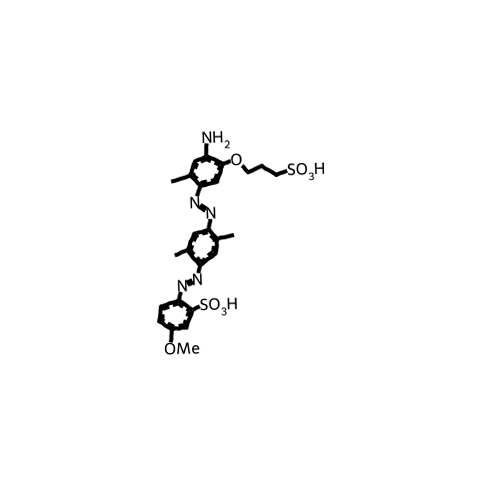 COc1ccc(N=Nc2cc(C)c(N=Nc3cc(OCCCS(=O)(=O)O)c(N)cc3C)cc2C)c(S(=O)(=O)O)c1